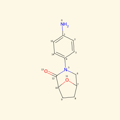 Nc1ccc(N2CC3CCC(O3)C2=O)cc1